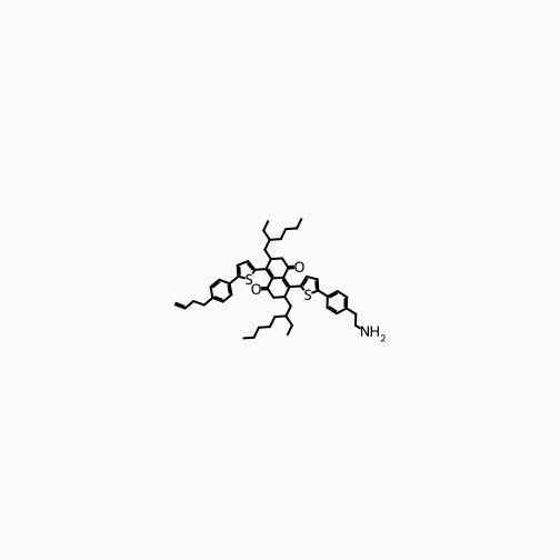 C=CCCc1ccc(-c2ccc(C3=C4C(=O)CC(CC(CC)CCCCC)C(c5ccc(-c6ccc(CCN)cc6)s5)=C4C(=O)CC3CC(CC)CCCC)s2)cc1